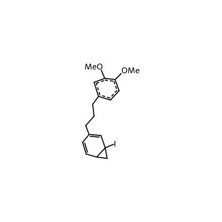 COc1ccc(CCCC2=CC3(I)CC3C=C2)cc1OC